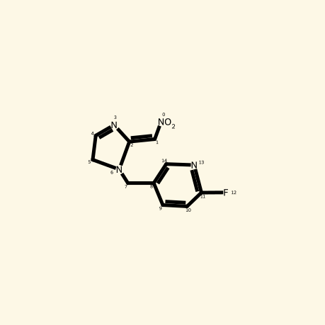 O=[N+]([O-])C=C1N=CCN1Cc1ccc(F)nc1